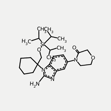 CC(C)[Si](OCC1(n2c(N)nc3cc(N4CCOCC4=O)ccc32)CCCCC1)(C(C)C)C(C)C